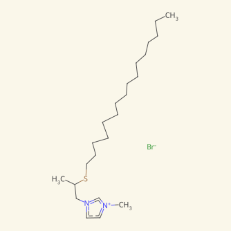 CCCCCCCCCCCCCCCCSC(C)Cn1cc[n+](C)c1.[Br-]